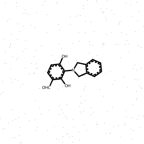 O=Cc1ccc(O)c(N2Cc3ccccc3C2)c1O